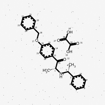 C[C@@H](N[C@H](C)c1ccccc1)C(=O)c1ccc(OCc2ccccc2)cc1.O=C(O)C(=O)O